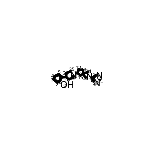 Oc1ccccc1C1CCN([C@@H]2CCC3(C2)CN(c2cncnc2)C3)CC1